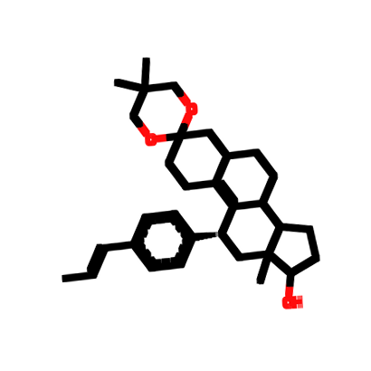 C/C=C/c1ccc([C@H]2CC3(C)C(O)CCC3C3CCC4CC5(CCC4=C32)OCC(C)(C)CO5)cc1